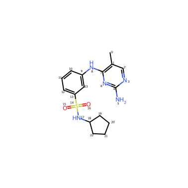 Cc1cnc(N)nc1Nc1cccc(S(=O)(=O)NC2CCCC2)c1